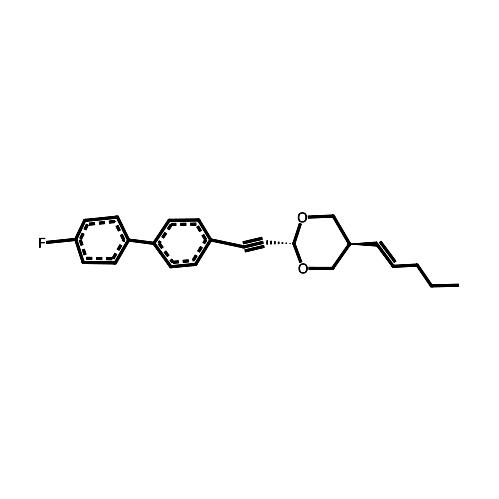 CCCC=C[C@H]1CO[C@H](C#Cc2ccc(-c3ccc(F)cc3)cc2)OC1